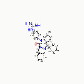 Cc1ccc2c(c1)N(c1ccc(NC(=N)N)cc1)C(=O)N(Cc1ccccc1)N=C2C1CCCCC1